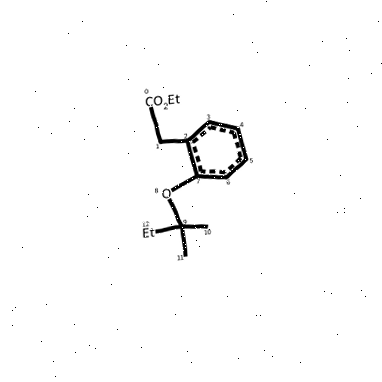 CCOC(=O)Cc1ccccc1OC(C)(C)CC